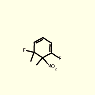 CC1(F)C=CC=C(F)C1(C)[N+](=O)[O-]